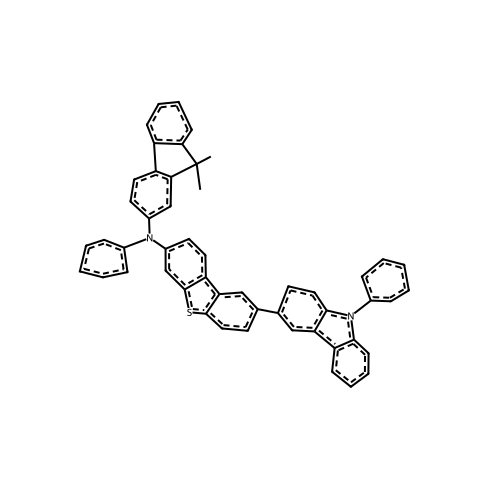 CC1(C)c2ccccc2-c2ccc(N(c3ccccc3)c3ccc4c(c3)sc3ccc(-c5ccc6c(c5)c5ccccc5n6-c5ccccc5)cc34)cc21